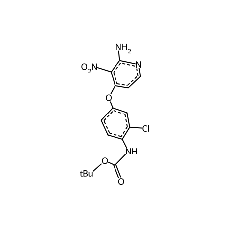 CC(C)(C)OC(=O)Nc1ccc(Oc2ccnc(N)c2[N+](=O)[O-])cc1Cl